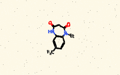 CCN1C(=O)CC(=O)Nc2cc(C(F)(F)F)ccc21